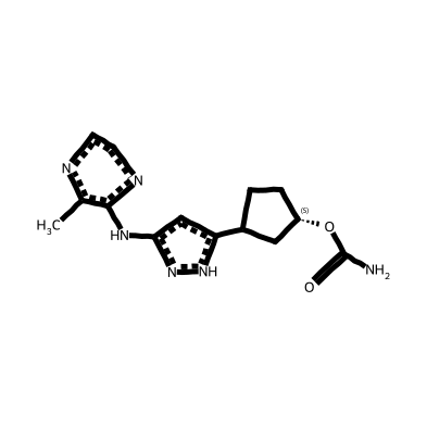 Cc1nccnc1Nc1cc(C2CC[C@H](OC(N)=O)C2)[nH]n1